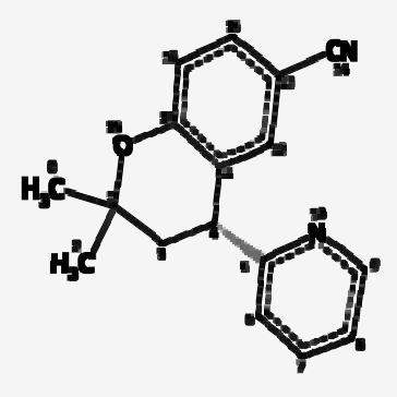 CC1(C)C[C@@H](c2ccccn2)c2cc(C#N)ccc2O1